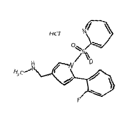 CNCc1cc(-c2ccccc2F)n(S(=O)(=O)c2ccccn2)c1.Cl